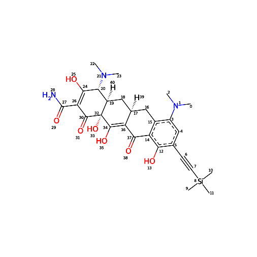 CN(C)c1cc(C#C[Si](C)(C)C)c(O)c2c1C[C@@H]1C[C@@H]3[C@@H](N(C)C)C(O)=C(C(N)=O)C(=O)[C@]3(O)C(O)=C1C2=O